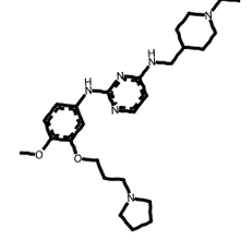 COc1ccc(Nc2nccc(NCC3CCN(C(C)C)CC3)n2)cc1OCCCN1CCCC1